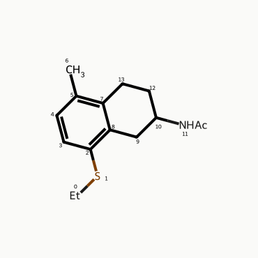 CCSc1ccc(C)c2c1CC(NC(C)=O)CC2